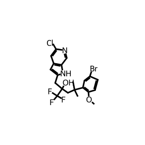 COc1ccc(Br)cc1C(C)(C)CC(O)(Cc1cc2cc(Cl)ncc2[nH]1)C(F)(F)F